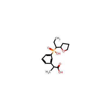 CCC(C1CCCO1)P(=O)(O)c1cccc(C(C)C(=O)O)c1